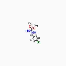 CCOC(OCC)C(=N)NCc1ccc(Br)cc1C